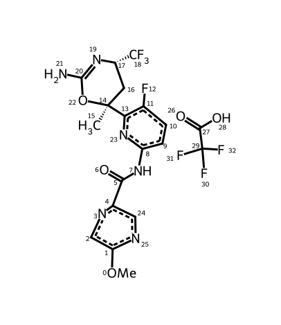 COc1cnc(C(=O)Nc2ccc(F)c([C@]3(C)C[C@@H](C(F)(F)F)N=C(N)O3)n2)cn1.O=C(O)C(F)(F)F